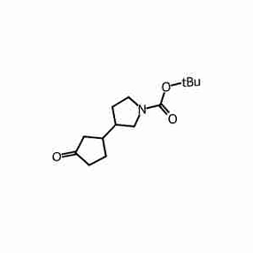 CC(C)(C)OC(=O)N1CCC(C2CCC(=O)C2)C1